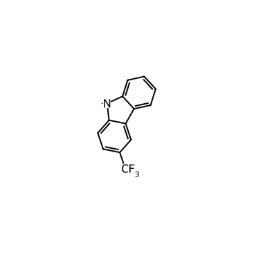 FC(F)(F)c1ccc2c(c1)-c1ccccc1[N]2